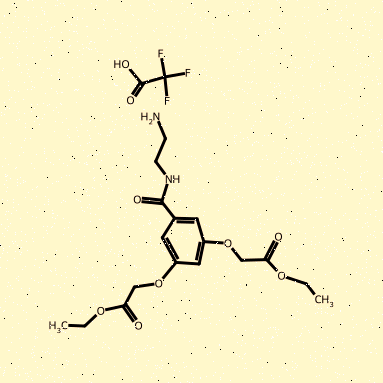 CCOC(=O)COc1cc(OCC(=O)OCC)cc(C(=O)NCCN)c1.O=C(O)C(F)(F)F